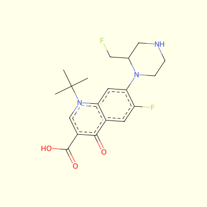 CC(C)(C)n1cc(C(=O)O)c(=O)c2cc(F)c(N3CCNCC3CF)cc21